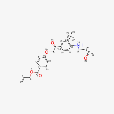 C=CCOC(=O)c1ccc(OCC(=O)c2ccc(NCCC(C)=O)c(C(C)(C)C)c2)cc1